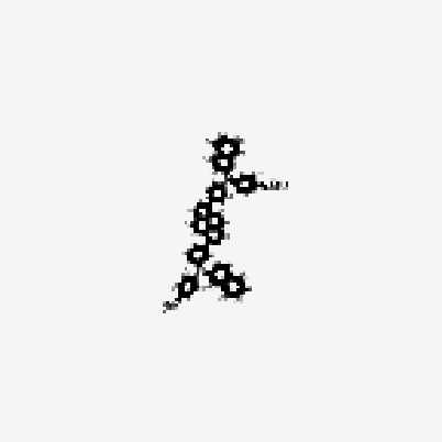 CC(C)(C)c1ccc(N(c2ccc(-c3ccc4ccc5c(-c6cccc(N(c7ccc(C(C)(C)C)cc7)c7ccc8ccccc8c7)c6)ccc6ccc3c4c65)cc2)c2ccc3ccccc3c2)cc1